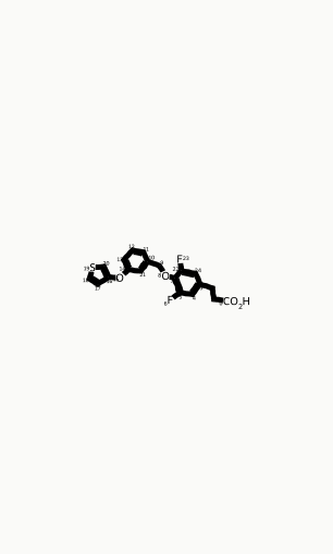 O=C(O)CCc1cc(F)c(OCc2cccc(Oc3ccsc3)c2)c(F)c1